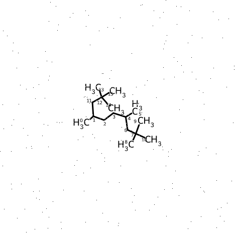 CC(CCC(C)CC(C)(C)C)CC(C)(C)C